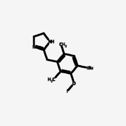 Cc1cc(C(C)(C)C)c(OI)c(C)c1CC1=NCCN1